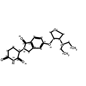 CCN(CC)[C@@H]1COC[C@@H]1Oc1ccc2c(c1)CN(C1CCC(=O)NC1=O)C2=O